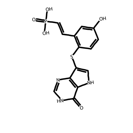 O=c1[nH]cnc2c(Sc3ccc(O)cc3/C=C/P(=O)(O)O)c[nH]c12